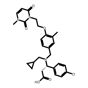 Cc1cc(CN(CC2CC2)[C@@H](CC(=O)O)c2ccc(Cl)cc2)ccc1OCCn1c(=O)ccn(C)c1=O